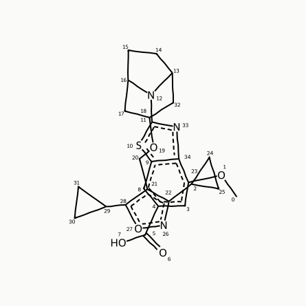 COc1cc(C(=O)O)cc2sc(N3C4CCC3CC(OCc3c(C5CC5)noc3C3CC3)C4)nc12